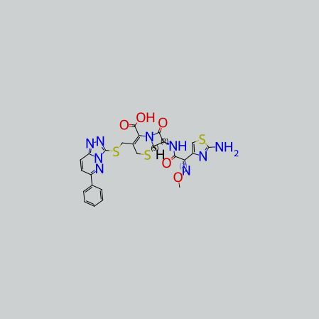 CO/N=C(\C(=O)N[C@@H]1C(=O)N2C(C(=O)O)=C(CSc3nnc4ccc(-c5ccccc5)nn34)CS[C@@H]12)c1csc(N)n1